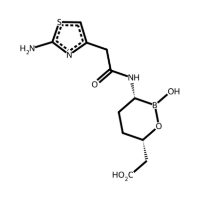 Nc1nc(CC(=O)N[C@H]2CC[C@@H](CC(=O)O)OB2O)cs1